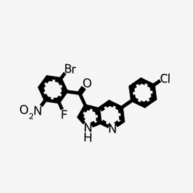 O=C(c1c(Br)ccc([N+](=O)[O-])c1F)c1c[nH]c2ncc(-c3ccc(Cl)cc3)cc12